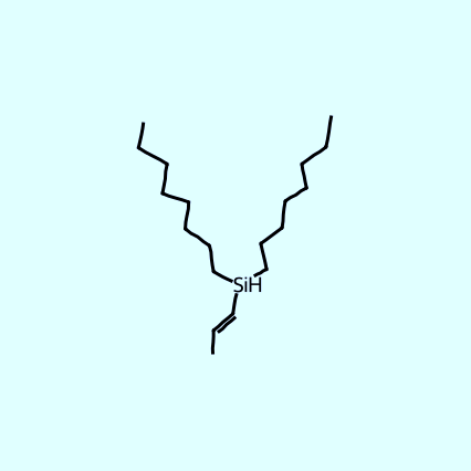 CC=C[SiH](CCCCCCCC)CCCCCCCC